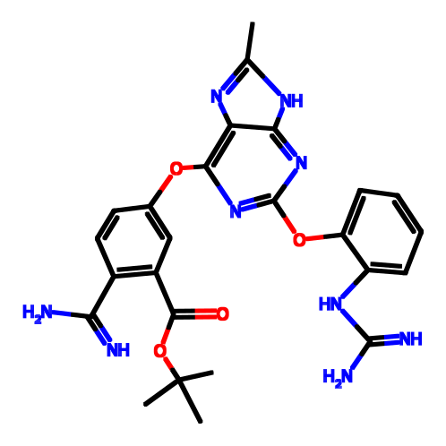 Cc1nc2c(Oc3ccc(C(=N)N)c(C(=O)OC(C)(C)C)c3)nc(Oc3ccccc3NC(=N)N)nc2[nH]1